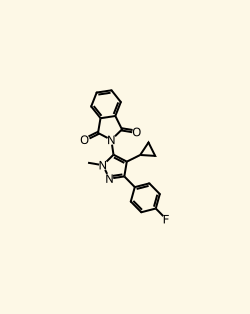 Cn1nc(-c2ccc(F)cc2)c(C2CC2)c1N1C(=O)c2ccccc2C1=O